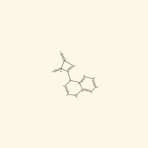 O=c1cc(C2C=COc3ccccc32)c1=O